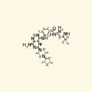 Cc1ccc(C(=O)N/C(N)=C/C(=N)C(C)(C)C)cc1Nc1ncnc2c(N)nc(N3CCN(C4CCCC4)CC3)nc12